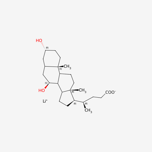 C[C@H](CCC(=O)[O-])[C@H]1CCC2C3C(CC[C@@]21C)[C@@]1(C)CC[C@@H](O)CC1C[C@@H]3O.[Li+]